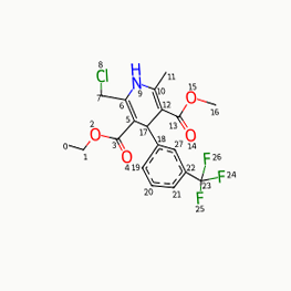 CCOC(=O)C1=C(CCl)NC(C)=C(C(=O)OC)C1c1cccc(C(F)(F)F)c1